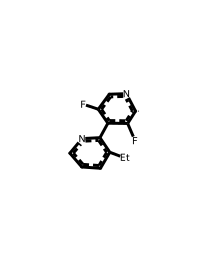 CCc1cccnc1-c1c(F)[c]ncc1F